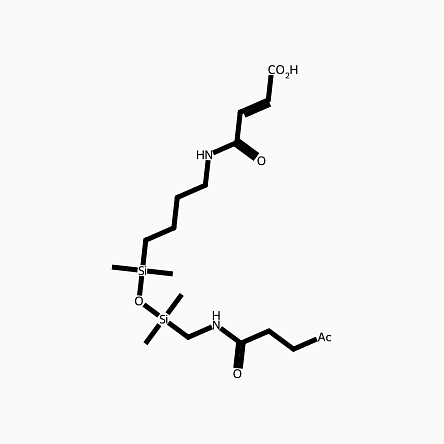 CC(=O)CCC(=O)NC[Si](C)(C)O[Si](C)(C)CCCCNC(=O)/C=C/C(=O)O